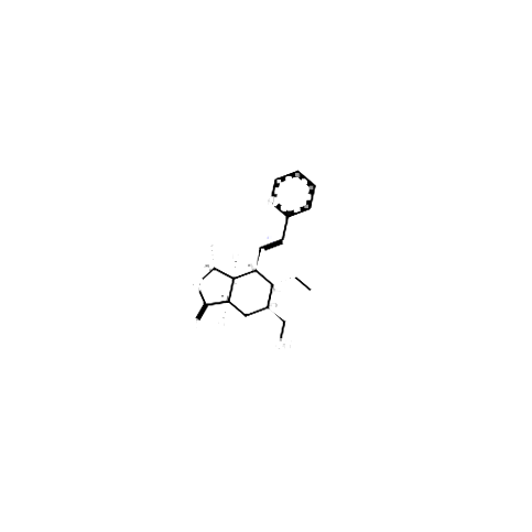 CC[C@@H]1[C@@H](CO)C[C@H]2C(=O)O[C@H](C)[C@H]2[C@H]1/C=C/c1ccccn1